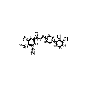 COc1cc(C(=O)CCN2CCN(c3cccc(Cl)c3Cl)CC2)cc(C#N)c1OC